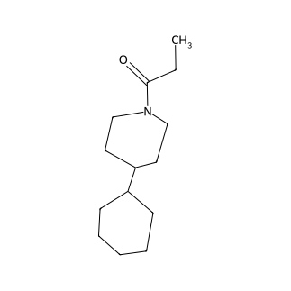 CCC(=O)N1CCC(C2CCCCC2)CC1